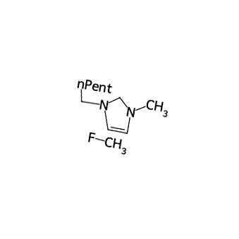 CCCCCCN1C=CN(C)C1.CF